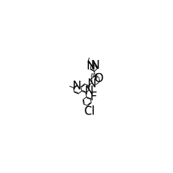 CCn1cc([C@@H]2CN(c3cc4nc(C)ccc4c(-c4ccc(Cl)cc4F)n3)CCO2)cn1